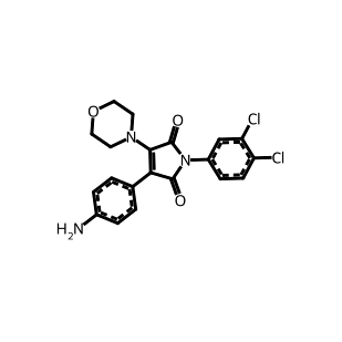 Nc1ccc(C2=C(N3CCOCC3)C(=O)N(c3ccc(Cl)c(Cl)c3)C2=O)cc1